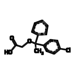 CC(OCC(=O)O)(c1ccccc1)c1ccc(Cl)cc1